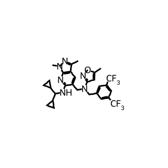 Cc1cc(N(Cc2cc(C(F)(F)F)cc(C(F)(F)F)c2)Cc2cc3c(C)nn(C)c3nc2NC(C2CC2)C2CC2)no1